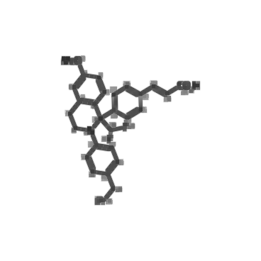 COc1ccc2c(c1)CCN(c1ccc(CC(C)C)cc1)C2(c1ccc(C=CC(=O)O)cc1)C(F)F